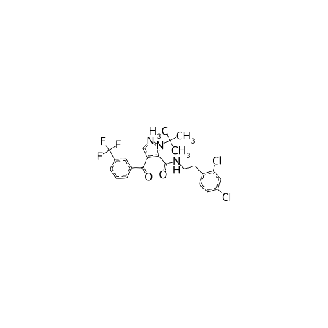 CC(C)(C)n1ncc(C(=O)c2cccc(C(F)(F)F)c2)c1C(=O)NCCc1ccc(Cl)cc1Cl